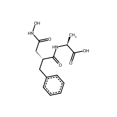 C[C@H](NC(=O)[C@@H](CC(=O)NO)Cc1ccccc1)C(=O)O